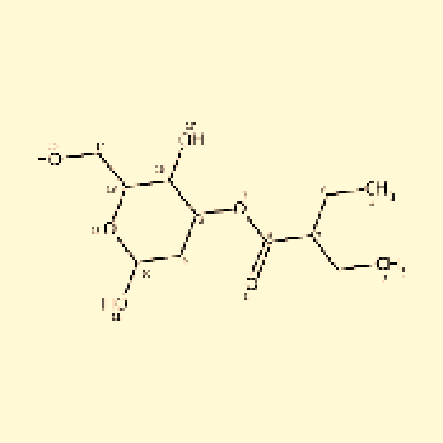 CCC(CC)C(=O)OC1CC(O)OC(CO)C1O